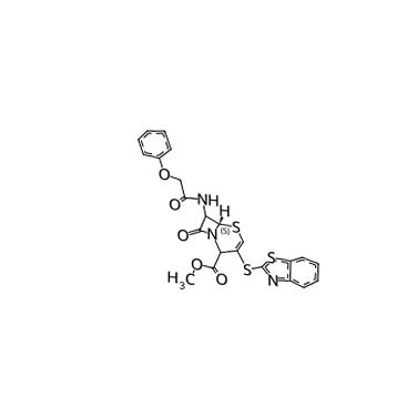 COC(=O)C1C(Sc2nc3ccccc3s2)=CS[C@H]2C(NC(=O)COc3ccccc3)C(=O)N12